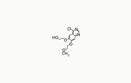 COCCOc1cc2ncnc(Cl)c2cc1OCCO